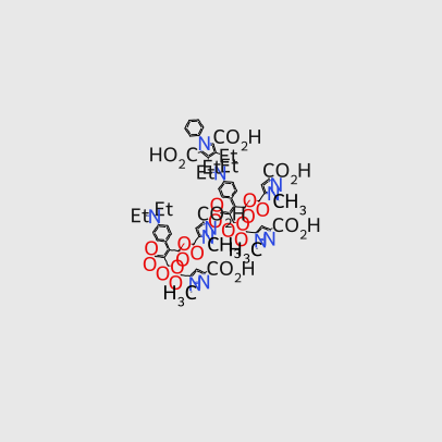 CCN(CC)c1ccc2c(C(=O)OC(=O)c3cc(C(=O)O)nn3C)c(C(=O)OC(=O)c3cc(C(=O)O)nn3C)c(=O)oc2c1.CCN(CC)c1ccc2c(C(=O)OC(=O)c3cc(C(=O)O)nn3C)c(C(=O)OC(=O)c3cc(C(=O)O)nn3C)c(=O)oc2c1.CCc1c(CC)c(C(=O)O)n(-c2ccccc2)c1C(=O)O